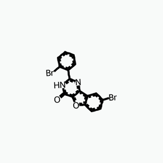 O=c1[nH]c(-c2ccccc2Br)nc2c1oc1ccc(Br)cc12